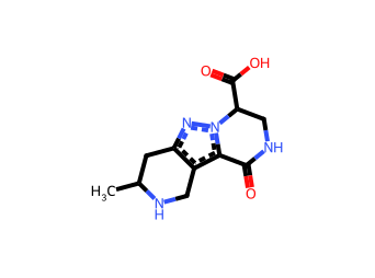 CC1Cc2nn3c(c2CN1)C(=O)NCC3C(=O)O